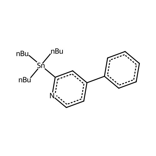 CCC[CH2][Sn]([CH2]CCC)([CH2]CCC)[c]1cc(-c2ccccc2)ccn1